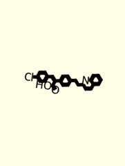 O=C(O)C(=Cc1ccc(Cl)cc1)c1ccc(CCc2ccc3ccccc3n2)cc1